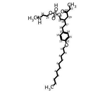 CCCCCCCCCCCOc1ccc(CCC(COP(=O)(O)OCCNC)CC(=O)CC)cc1